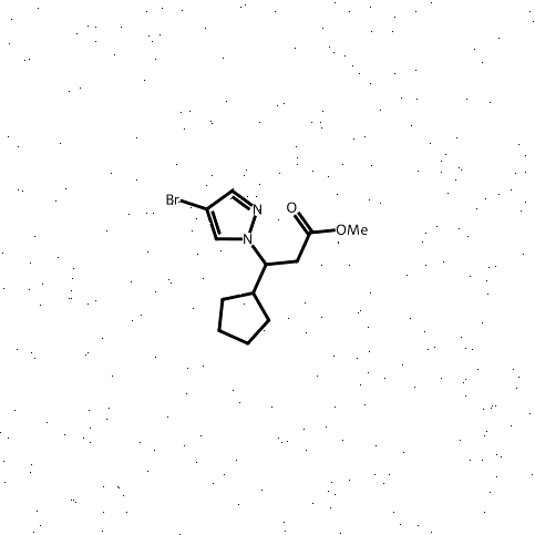 COC(=O)CC(C1CCCC1)n1cc(Br)cn1